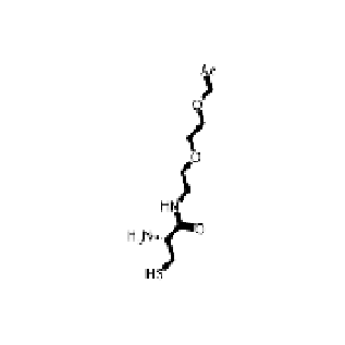 CC(=O)COCCOCCNC(=O)[C@@H](N)CS